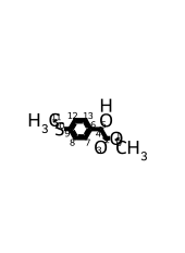 COC(=O)C(O)c1ccc(SC)cc1